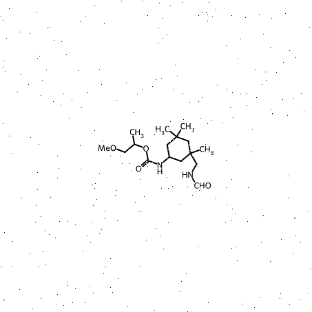 COCC(C)OC(=O)NC1CC(C)(C)CC(C)(CNC=O)C1